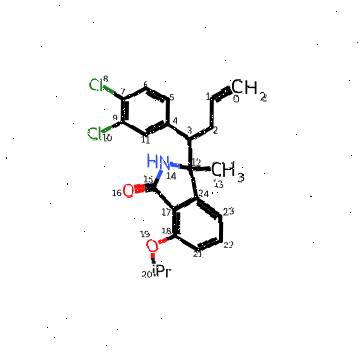 C=CCC(c1ccc(Cl)c(Cl)c1)C1(C)NC(=O)c2c(OC(C)C)cccc21